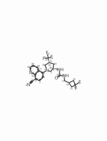 N#Cc1ccc(N2C[C@H](NC(=O)NCC3CC(F)(F)C3)C[C@H](C(F)(F)F)C2)c2cccnc12